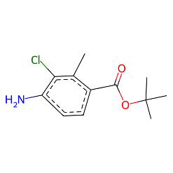 Cc1c(C(=O)OC(C)(C)C)ccc(N)c1Cl